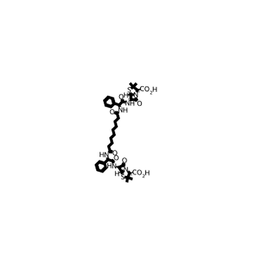 CC1(C)S[C@H]2[C@@H](NC(=O)C(NC(=O)CCCCCCCCC(=O)NC(C(=O)N[C@H]3C(=O)N4[C@H]3SC(C)(C)[C@H]4C(=O)O)c3ccccc3)c3ccccc3)C(=O)N2[C@@H]1C(=O)O